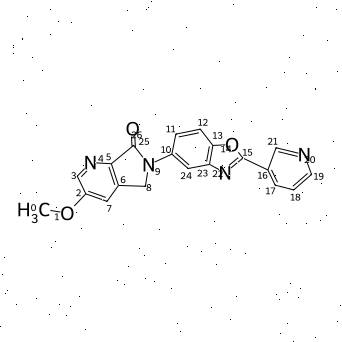 COc1cnc2c(c1)CN(c1ccc3oc(-c4cccnc4)nc3c1)C2=O